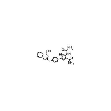 NC(=O)Nc1[nH]c(-c2ccc(CN(CCO)Cc3ccccc3)cc2)cc1C(N)=O